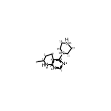 CC1CCc2c(ncnc2N2CCNCC2)N1